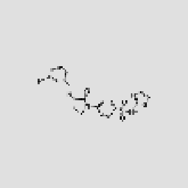 O=C1C(NCc2cccc(F)c2)CCN1c1ccc(S(=O)(=O)Nc2nccs2)cc1